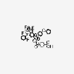 O=C(O)C1CCN(C(=O)N2CC[C@](c3ccc(C(OCc4c(F)cccc4F)(C(F)(F)F)C(F)(F)F)cc3)(S(=O)(=O)c3ccc(Oc4ccccc4)cc3)C2)CC1